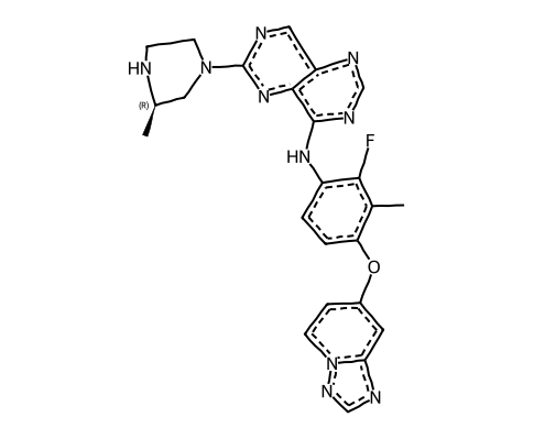 Cc1c(Oc2ccn3ncnc3c2)ccc(Nc2ncnc3cnc(N4CCN[C@H](C)C4)nc23)c1F